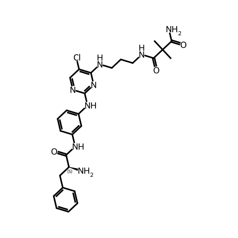 CC(C)(C(N)=O)C(=O)NCCCNc1nc(Nc2cccc(NC(=O)[C@@H](N)Cc3ccccc3)c2)ncc1Cl